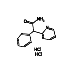 Cl.Cl.NC(=O)C(c1ccccc1)c1ccccn1